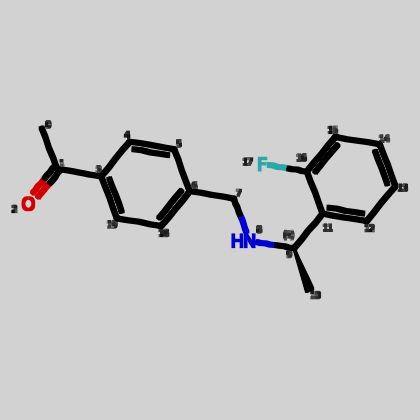 CC(=O)c1ccc(CN[C@H](C)c2ccccc2F)cc1